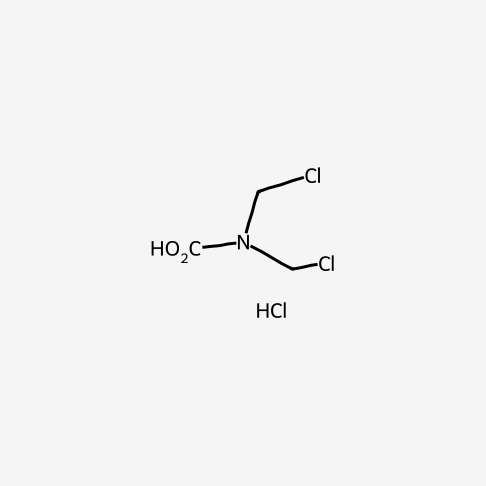 Cl.O=C(O)N(CCl)CCl